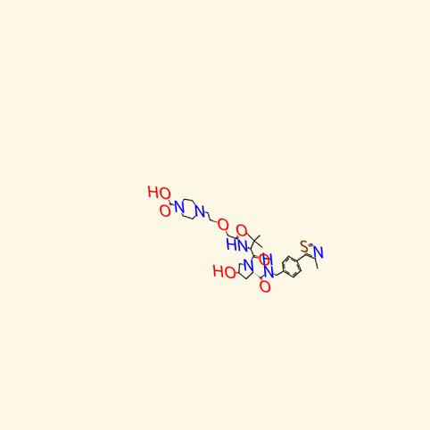 Cc1ncsc1-c1ccc(CNC(=O)[C@@H]2C[C@@H](O)CN2C(=O)[C@@H](NC(=O)COCCN2CCN(C(=O)O)CC2)C(C)(C)C)cc1